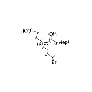 CCCCCCCCC(O)CCCCCCC.O=C(O)CCCCCCCBr